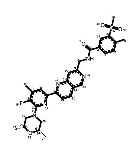 Cc1ccc(C(=O)NCc2cc3nc(-c4cc(C)c(F)c(N5C[C@@H](C)O[C@@H](C)C5)n4)ccc3cn2)cc1S(C)(=O)=O